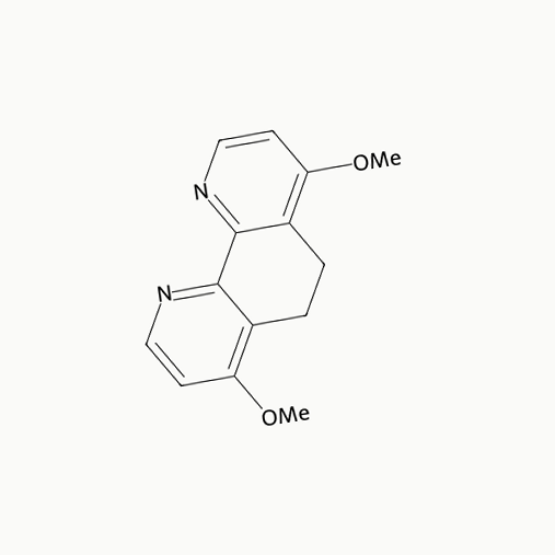 COc1ccnc2c1CCc1c(OC)ccnc1-2